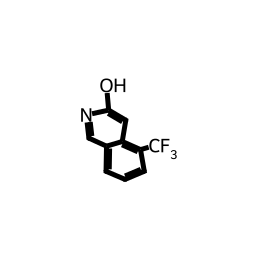 Oc1cc2c(C(F)(F)F)cccc2cn1